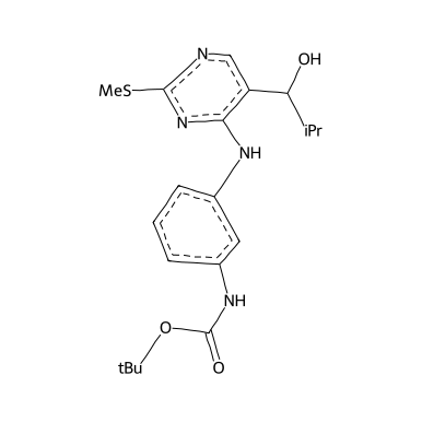 CSc1ncc(C(O)C(C)C)c(Nc2cccc(NC(=O)OC(C)(C)C)c2)n1